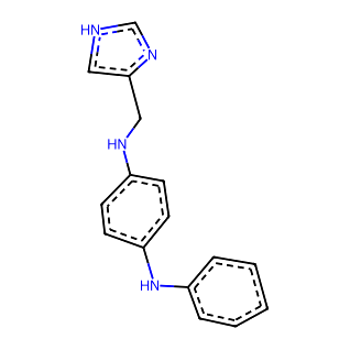 c1ccc(Nc2ccc(NCc3c[nH]cn3)cc2)cc1